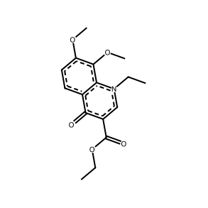 CCOC(=O)c1cn(CC)c2c(OC)c(OC)ccc2c1=O